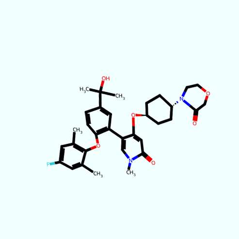 Cc1cc(F)cc(C)c1Oc1ccc(C(C)(C)O)cc1-c1cn(C)c(=O)cc1O[C@H]1CC[C@H](N2CCOCC2=O)CC1